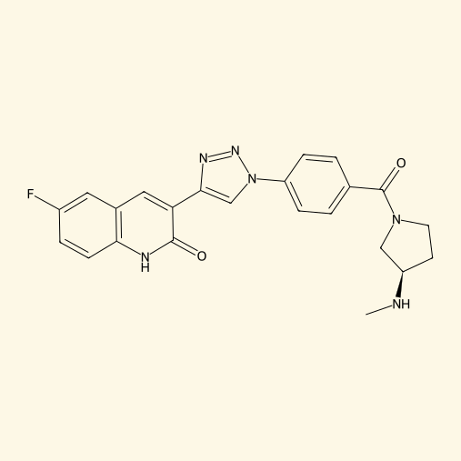 CN[C@@H]1CCN(C(=O)c2ccc(-n3cc(-c4cc5cc(F)ccc5[nH]c4=O)nn3)cc2)C1